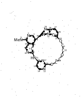 CNc1ncc2c3cc(ncc13)Nc1ccnc(n1)OCCOCCOc1ccc3nc-2nn3c1